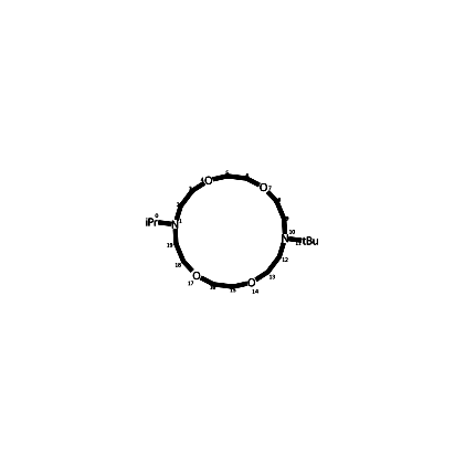 CC(C)N1CCOCCOCCN(C(C)(C)C)CCOCCOCC1